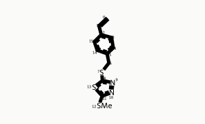 C=Cc1ccc(CSc2nnc(SC)s2)cc1